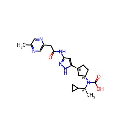 Cc1cnc(CC(=O)Nc2cc([C@H]3CC[C@@H](N(C(=O)O)[C@H](C)C4CC4)C3)[nH]n2)cn1